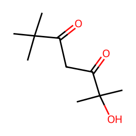 CC(C)(C)C(=O)CC(=O)C(C)(C)O